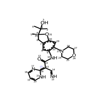 CC(C)(O)[C@@]1(C)Cc2cc(NC(=O)/C(C=N)=C3\N=CC=CN3)c(N3CCOCC3)cc2O1